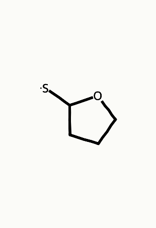 [S]C1CCCO1